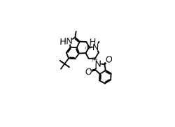 Cc1[nH]c2cc(C(C)(C)C)cc3c2c1C[C@@H]1C3C[C@@H](N2C(=O)c3ccccc3C2=O)CN1C